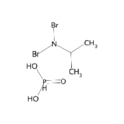 CC(C)N(Br)Br.O=[PH](O)O